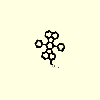 BCc1ccc2c3c(-c4ccccc4)c4c5cccc6cccc(c4c(-c4ccccc4)c3c3cccc1c32)c65